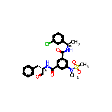 C[C@@H](NC(=O)c1cc(C(=O)N[C@H](C=O)Cc2ccccc2)cc(N(C)S(C)(=O)=O)c1)c1cccc(Cl)c1